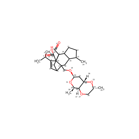 CC(C)C1=CC2CC3(C=O)C4CCC(C)C4CC2(CO[C@H]2C[C@@H]4O[C@H](C)CO[C@H]4[C@@H](C)O2)C13C(=O)O